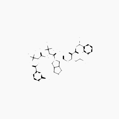 CCC[C@@H](NC(=O)[C@@H]1C2CCCC2CN1C(=O)[C@@H](NC(=O)[C@H](NC(=O)c1cccc(=O)[nH]1)C(C)(C)C)C(C)(C)C)C(=O)C(=O)N[C@@H](C)c1ccccc1